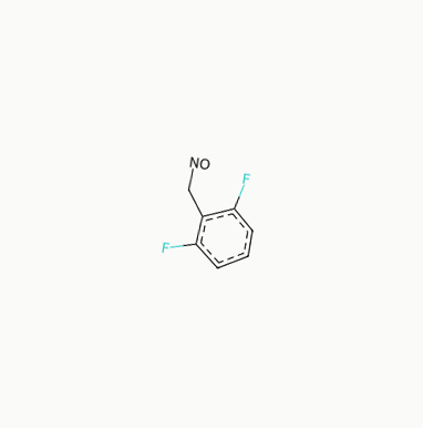 O=NCc1c(F)cccc1F